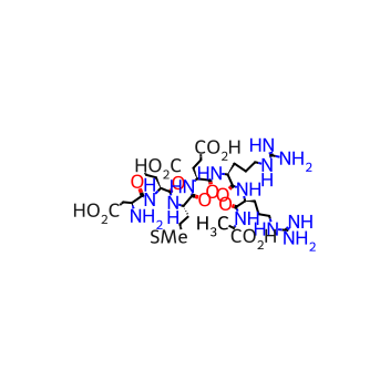 CSCC[C@H](NC(=O)[C@H](CCC(=O)O)NC(=O)[C@@H](N)CC(=O)O)C(=O)N[C@@H](CCC(=O)O)C(=O)N[C@@H](CCCNC(=N)N)C(=O)N[C@@H](CCCNC(=N)N)C(=O)N[C@@H](C)C(=O)O